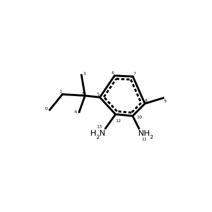 CCC(C)(C)c1ccc(C)c(N)c1N